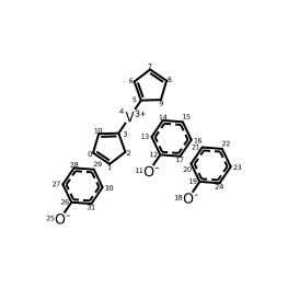 C1=CC[C]([V+3][C]2=CC=CC2)=C1.[O-]c1ccccc1.[O-]c1ccccc1.[O-]c1ccccc1